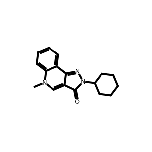 Cn1cc2c(=O)n(C3CCCCC3)nc-2c2ccccc21